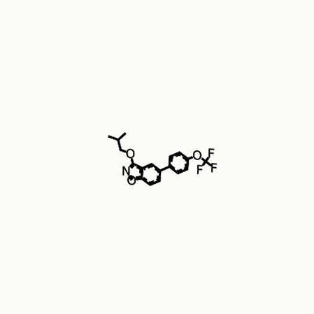 CC(C)COc1noc2ccc(-c3ccc(OC(F)(F)F)cc3)cc12